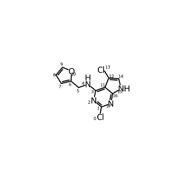 Clc1nc(NCc2ccco2)c2c(Cl)c[nH]c2n1